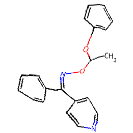 CC(ON=C(c1ccccc1)c1ccncc1)Oc1ccccc1